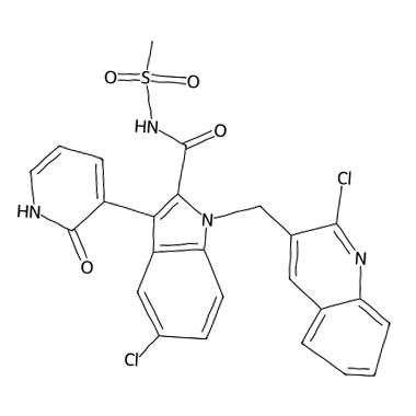 CS(=O)(=O)NC(=O)c1c(-c2ccc[nH]c2=O)c2cc(Cl)ccc2n1Cc1cc2ccccc2nc1Cl